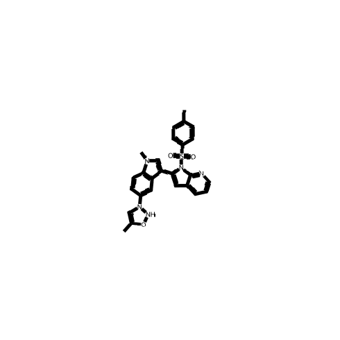 CC1=CN(c2ccc3c(c2)c(-c2cc4cccnc4n2S(=O)(=O)c2ccc(C)cc2)cn3C)NO1